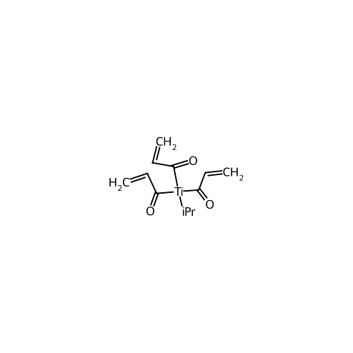 C=C[C](=O)[Ti]([C](=O)C=C)([C](=O)C=C)[CH](C)C